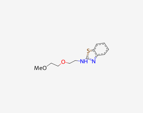 COCCOCCNc1nc2ccccc2s1